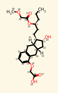 CCC[C@@H](CC[C@@H]1[C@H]2Cc3cccc(OCC(=O)O)c3C[C@H]2C[C@H]1O)OC(=O)COC